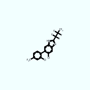 FC(F)(F)c1ccc(-c2cc3[nH]c(C(F)(F)C(F)(F)C(F)(F)F)nc3cc2Cl)c(Cl)c1